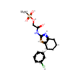 CNS(=O)(=O)OCC(=O)Nc1nc2c(s1)[C@@H](c1cccc(Cl)c1)CCC2